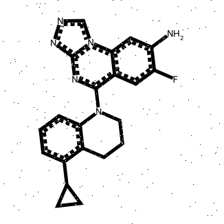 Nc1cc2c(cc1F)c(N1CCCc3c(C4CC4)cccc31)nc1nncn12